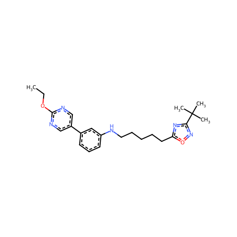 CCOc1ncc(-c2cccc(NCCCCCc3nc(C(C)(C)C)no3)c2)cn1